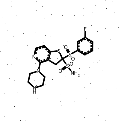 NS(=O)(=O)C1(S(=O)(=O)c2cccc(F)c2)Cc2c(ccnc2N2CCNCC2)S1